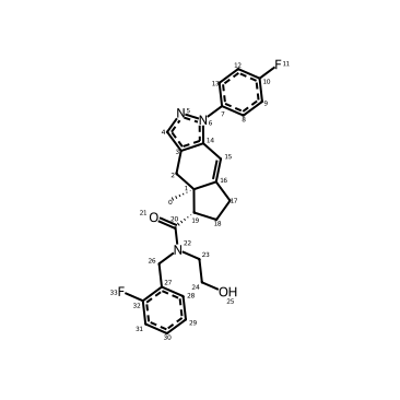 C[C@]12Cc3cnn(-c4ccc(F)cc4)c3C=C1CC[C@@H]2C(=O)N(CCO)Cc1ccccc1F